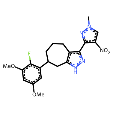 COc1cc(OC)c(F)c(C2CCCc3c(-c4nn(C)cc4[N+](=O)[O-])n[nH]c3C2)c1